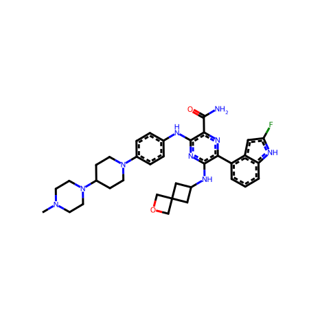 CN1CCN(C2CCN(c3ccc(Nc4nc(NC5CC6(COC6)C5)c(-c5cccc6[nH]c(F)cc56)nc4C(N)=O)cc3)CC2)CC1